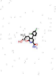 C[C@H]1Cc2c(-c3ccc(F)cc3F)cc(C(N)=O)nc2O[C@H]1CO